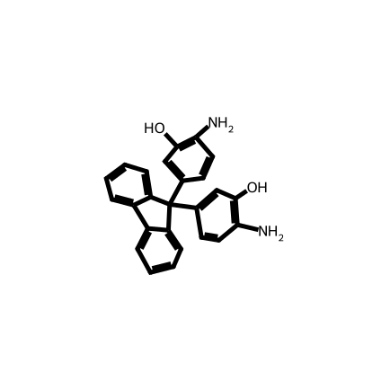 Nc1ccc(C2(c3ccc(N)c(O)c3)c3ccccc3-c3ccccc32)cc1O